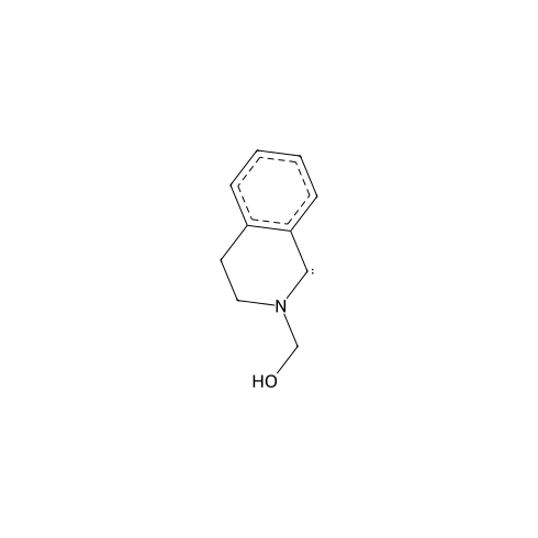 OCN1[C]c2ccccc2CC1